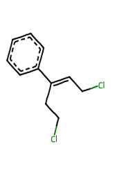 ClCC=C(CCCl)c1ccccc1